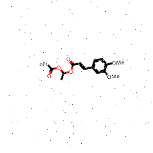 CCCC(=O)OC(C)OC(=O)C=Cc1ccc(OC)c(OC)c1